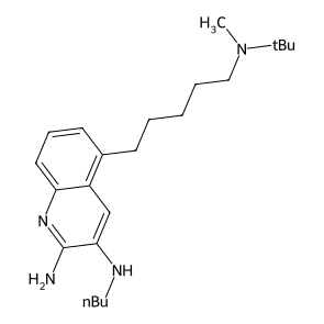 CCCCNc1cc2c(CCCCCN(C)C(C)(C)C)cccc2nc1N